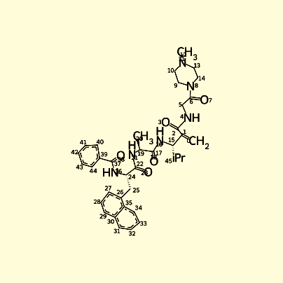 C=C(C(=O)NCC(=O)N1CCN(C)CC1)[C@@H](NC(=O)[C@H](C)NC(=O)[C@H](Cc1cccc2ccccc12)NC(=O)c1ccccc1)C(C)C